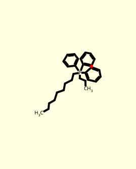 CCCCCCCCCP(CCC)(c1ccccc1)(c1ccccc1)c1ccccc1